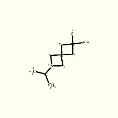 CC(C)N1CC2(C1)CC(F)(F)C2